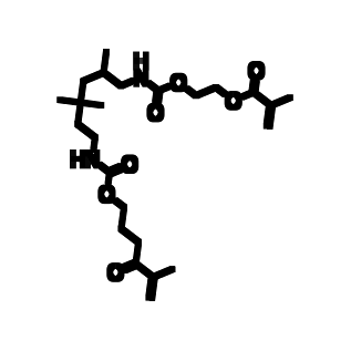 C=C(C)C(=O)CCCOC(=O)NCCC(C)(C)CC(C)CNC(=O)OCCOC(=O)C(=C)C